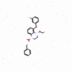 O=C(c1cccc(Cl)c1)c1cccc2c1N(C(=O)CBr)CCN2C(=O)OCc1ccccc1